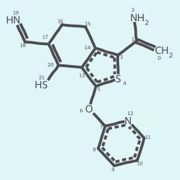 C=C(N)c1sc(Oc2ccccn2)c2c1CCC(C=N)=C2S